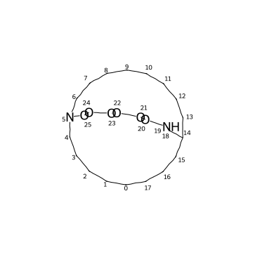 C1CCCCN2CCCCCCCCC(CCC1)CNOOOOOO2